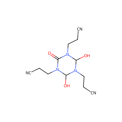 N#CCCN1C(=O)N(CCC#N)C(O)N(CCC#N)C1O